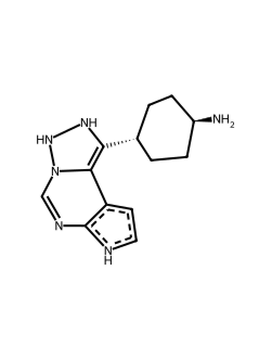 N[C@H]1CC[C@H](C2=C3c4cc[nH]c4N=CN3NN2)CC1